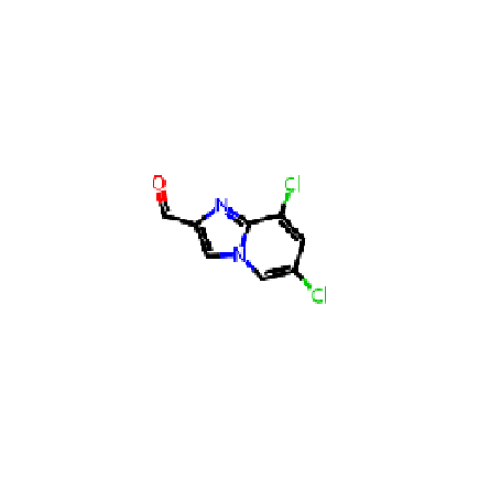 O=Cc1cn2cc(Cl)cc(Cl)c2n1